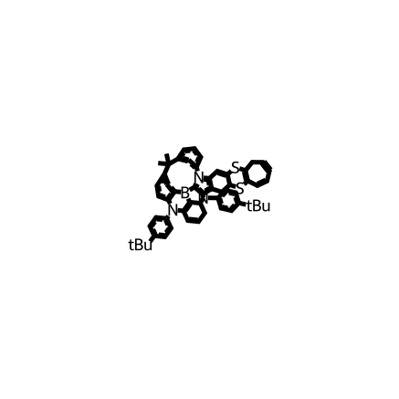 CC(C)(C)c1ccc(N2C3=C4B5c6cc(ccc62)C(C)(C)c2cccc(c2)-n2c6c(c(c25)N(c2ccc(C(C)(C)C)cc2)C4CC=C3)CC2SC3=C(CC#CC=C3)SC2=C6)cc1